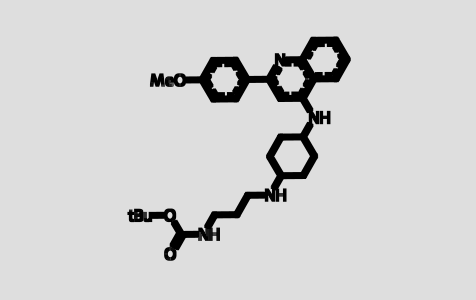 COc1ccc(-c2cc(NC3CCC(NCCCNC(=O)OC(C)(C)C)CC3)c3ccccc3n2)cc1